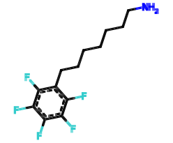 NCCCCCCCc1c(F)c(F)c(F)c(F)c1F